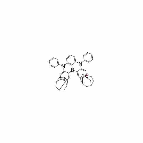 c1ccc(N2c3cc4c(cc3B3c5cc6c(cc5N(c5ccccc5)c5cccc2c53)C2CC3CC(CC6C3)C2)C2CC3CC(C2)CC4C3)cc1